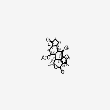 CC(=O)O[C@@H]1C[C@]2(C)C(=O)CCC2C2C(=O)c3occ4c3[C@@](C)(C21)[C@@H](C)OC4=O